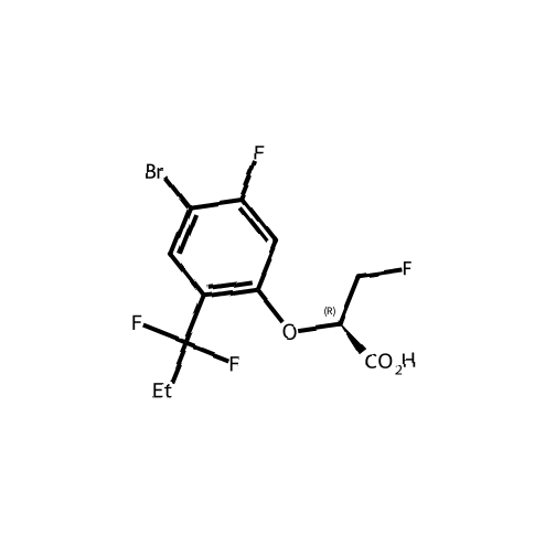 CCC(F)(F)c1cc(Br)c(F)cc1O[C@@H](CF)C(=O)O